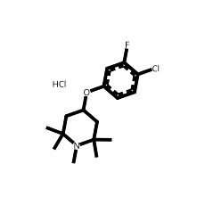 CN1C(C)(C)CC(Oc2ccc(Cl)c(F)c2)CC1(C)C.Cl